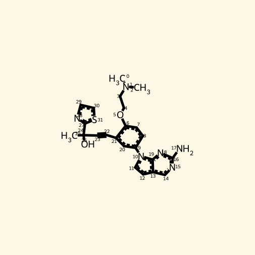 CN(C)CCOc1ccc(-n2ccc3cnc(N)nc32)cc1C#CC(C)(O)c1nccs1